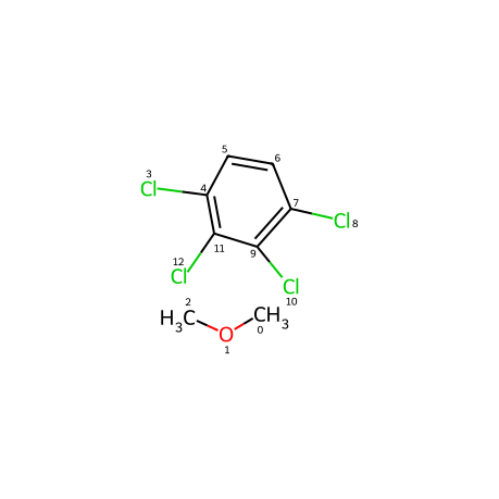 COC.Clc1ccc(Cl)c(Cl)c1Cl